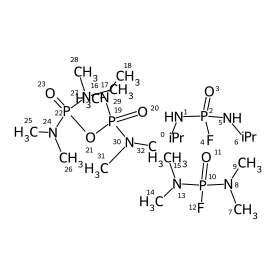 CC(C)NP(=O)(F)NC(C)C.CN(C)P(=O)(F)N(C)C.CN(C)P(=O)(OP(=O)(N(C)C)N(C)C)N(C)C